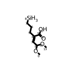 COC(C=C(CCC[SiH3])C(=O)O)OC